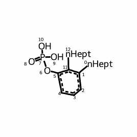 CCCCCCCc1cccc(OP(=O)(O)O)c1CCCCCCC